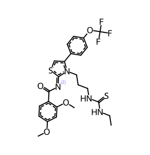 CCNC(=S)NCCCn1c(-c2ccc(OC(F)(F)F)cc2)cs/c1=N\C(=O)c1ccc(OC)cc1OC